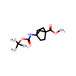 COC(=O)C12CCC(NC(=O)OC(C)(C)C)(CC1)C2